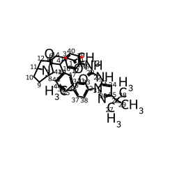 CC(=O)CC(C(=O)N1C2CCC1CC(Cc1ccc(NC(=O)Nc3cc(C(C)(C)C)nn3-c3ccc(C)cc3)cc1)C2)c1ccccc1